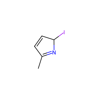 CC1=NC(I)C=C1